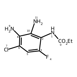 CCOC(=O)Nc1c(F)cc(Cl)c(N)c1N